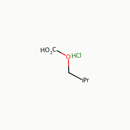 CC(C)COC(=O)O.Cl